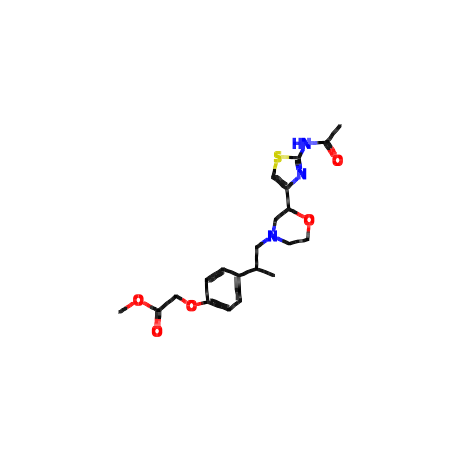 COC(=O)COc1ccc(C(C)CN2CCOC(c3csc(NC(C)=O)n3)C2)cc1